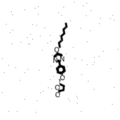 CCCCCCCCOc1cnc(-c2ccc(OC[C@@H]3CCC(=O)O3)cc2)nc1